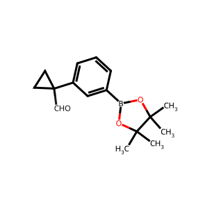 CC1(C)OB(c2cccc(C3(C=O)CC3)c2)OC1(C)C